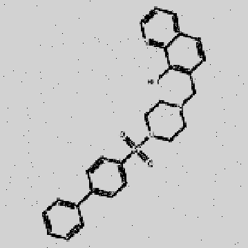 O=S(=O)(c1ccc(-c2ccccc2)cc1)N1CCN(Cc2ccc3cccnc3c2O)CC1